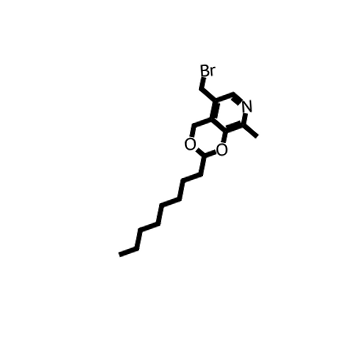 CCCCCCCCC1OCc2c(CBr)cnc(C)c2O1